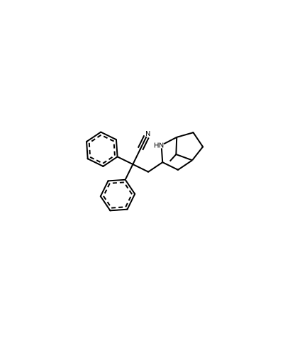 CC1C2CCC1NC(CC(C#N)(c1ccccc1)c1ccccc1)C2